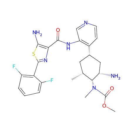 COC(=O)N(C)[C@@H]1[C@H](C)C[C@H](c2ccncc2NC(=O)c2nc(-c3c(F)cccc3F)sc2N)C[C@@H]1N